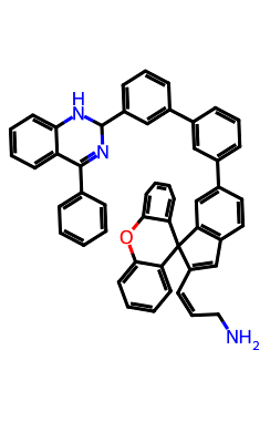 NC/C=C\C1=Cc2ccc(-c3cccc(-c4cccc(C5N=C(c6ccccc6)c6ccccc6N5)c4)c3)cc2C12c1ccccc1Oc1ccccc12